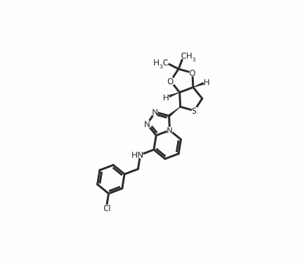 CC1(C)O[C@@H]2[C@@H](CS[C@H]2c2nnc3c(NCc4cccc(Cl)c4)cccn23)O1